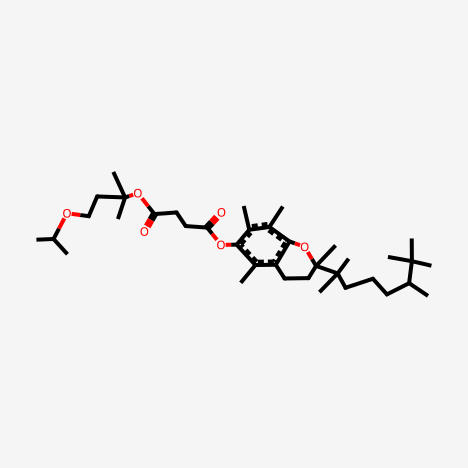 Cc1c(C)c2c(c(C)c1OC(=O)CCC(=O)OC(C)(C)CCOC(C)C)CCC(C)(C(C)(C)CCCC(C)C(C)(C)C)O2